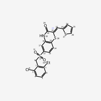 CCc1cccc(Cl)c1CS(=O)(=O)c1ccc2c(c1)NC(=O)/C(=C/c1cccs1)S2